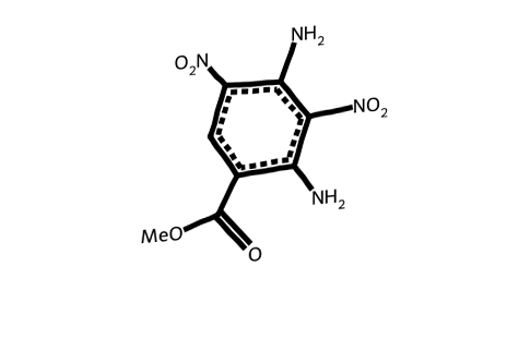 COC(=O)c1cc([N+](=O)[O-])c(N)c([N+](=O)[O-])c1N